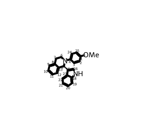 COc1ccc(N2CCc3ccccc3[C@@H]2c2c[nH]c3ccccc23)cc1